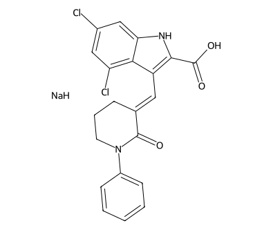 O=C(O)c1[nH]c2cc(Cl)cc(Cl)c2c1/C=C1\CCCN(c2ccccc2)C1=O.[NaH]